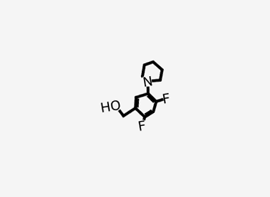 OCc1cc(N2CCCCC2)c(F)cc1F